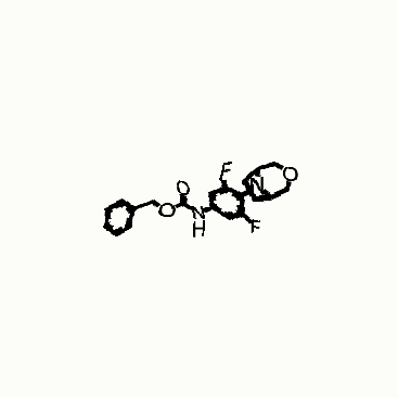 O=C(Nc1cc(F)c(N2C3CCC2COC3)c(F)c1)OCc1ccccc1